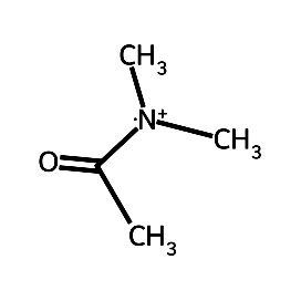 CC(=O)[N+](C)C